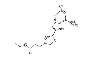 CCOC(=O)CCC1CSC(c2cc3cc(Cl)cc(N)c3[nH]2)=N1